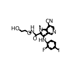 Cn1c(C(=O)NOCCO)c(Nc2ccc(I)cc2F)c2cncc(C#N)c21